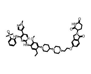 CCc1cc(Nc2ncc(-c3cnn(C)c3)c(Nc3ccccc3P(C)(C)=O)n2)c(OC)cc1N1CCC(N2CCN(CCOc3ccc4c(c3)CN(C3CCC(=O)NC3=O)C4=O)CC2)CC1